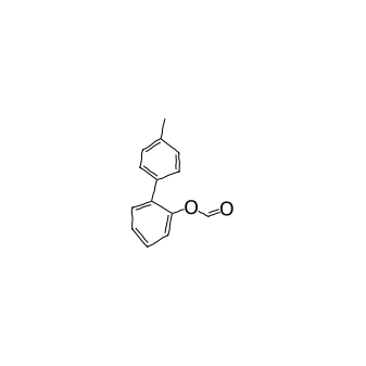 Cc1ccc(-c2ccccc2OC=O)cc1